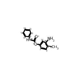 Cc1ccc(OC(=O)Nc2ccccc2)cc1N